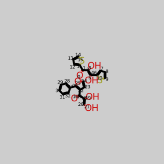 O=C(C(O)=C(O)c1cccs1)c1cccs1.O=C(C(O)=CO)c1ccoc1-c1ccccc1